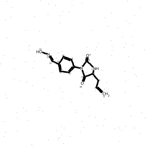 C=CCC1NC(=O)N(c2ccc(C=NO)cc2)C1=O